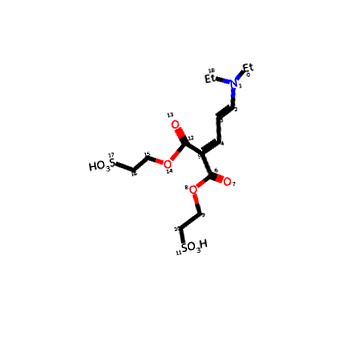 CCN(/C=C/C=C(C(=O)OCCS(=O)(=O)O)C(=O)OCCS(=O)(=O)O)CC